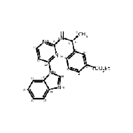 CCOC(=O)c1cccc([C@H](C)Nc2nccc(-n3cnc4ccccc43)n2)c1